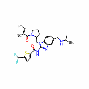 CC(C)C=C(C#N)C(=O)N1CCCC1Cn1c(NC(=O)c2ccc(C(F)F)s2)nc2cc(CNC(C)C(C)(C)C)ccc21